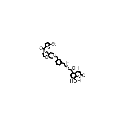 CCC1=CCC(C(=O)N2CCOC3(CCN(Cc4cccc(CCNC[C@H](O)c5ccc(O)c6[nH]c(=O)ccc56)c4)CC3)C2)S1